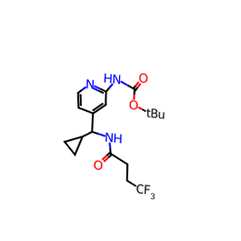 CC(C)(C)OC(=O)Nc1cc(C(NC(=O)CCC(F)(F)F)C2CC2)ccn1